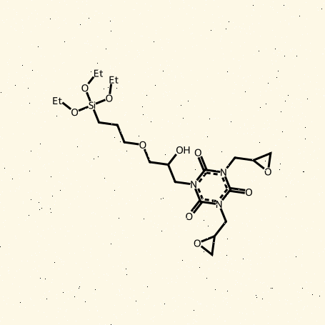 CCO[Si](CCCOCC(O)Cn1c(=O)n(CC2CO2)c(=O)n(CC2CO2)c1=O)(OCC)OCC